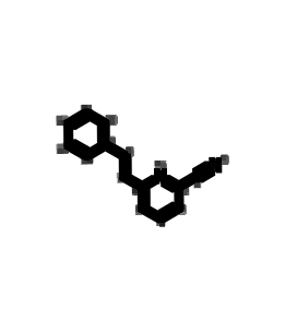 N#Cc1cccc(C=Cc2ccccc2)n1